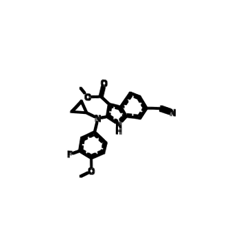 COC(=O)c1c(N(c2ccc(OC)c(F)c2)C2CC2)[nH]c2cc(C#N)ccc12